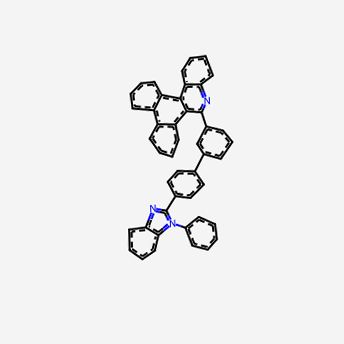 c1ccc(-n2c(-c3ccc(-c4cccc(-c5nc6ccccc6c6c7ccccc7c7ccccc7c56)c4)cc3)nc3ccccc32)cc1